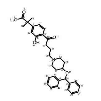 CC(C)(C(=O)O)c1ccc(C(=O)CCCN2CCC(OC(c3ccccc3)c3ccccc3)CC2)c(O)c1